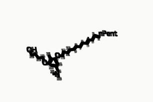 CCCCCC=CCC=CCCCCCCCCOc1cc(CN(C)C)cc(OCCCCO)c1C